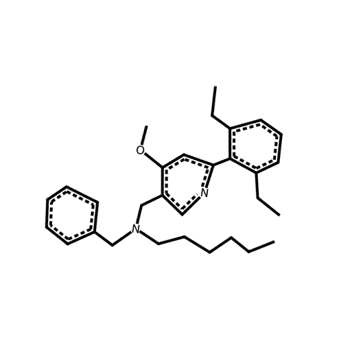 CCCCCCN(Cc1ccccc1)Cc1cnc(-c2c(CC)cccc2CC)cc1OC